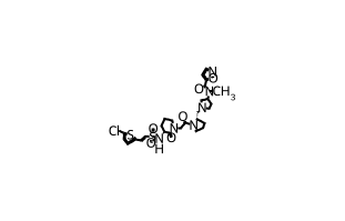 CN(C(=O)c1ccno1)C1CCN(C[C@@H]2CCCN2C(=O)CN2CCC[C@H](NS(=O)(=O)/C=C/c3ccc(Cl)s3)C2=O)C1